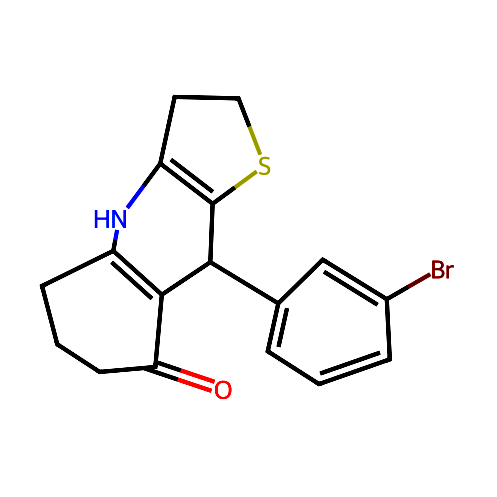 O=C1CCCC2=C1C(c1cccc(Br)c1)C1=C(CCS1)N2